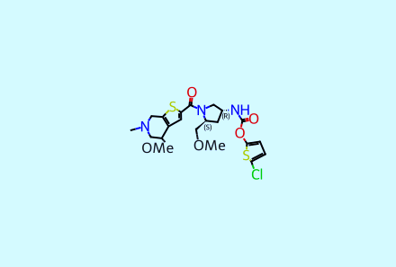 COC[C@@H]1C[C@@H](NC(=O)Oc2ccc(Cl)s2)CN1C(=O)c1cc2c(s1)CN(C)CC2OC